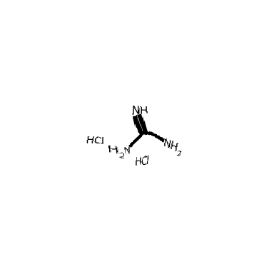 Cl.Cl.N=C(N)N